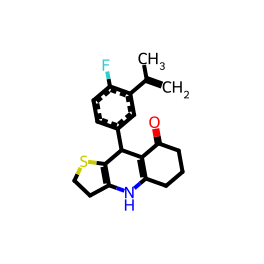 C=C(C)c1cc(C2C3=C(CCS3)NC3=C2C(=O)CCC3)ccc1F